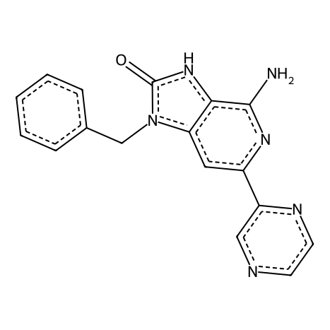 Nc1nc(-c2cnccn2)cc2c1[nH]c(=O)n2Cc1ccccc1